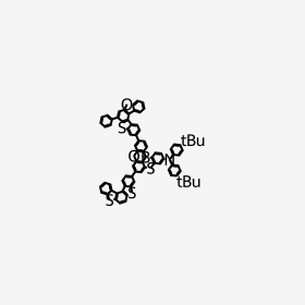 CC(C)(C)c1ccc(N(c2ccc(C(C)(C)C)cc2)c2ccc3c(c2)Sc2cc(-c4ccc5c(c4)sc4ccc6sc7ccccc7c6c45)cc4c2B3c2ccc(-c3ccc5c(c3)sc3c(-c6ccccc6)cc6oc7ccccc7c6c35)cc2O4)cc1